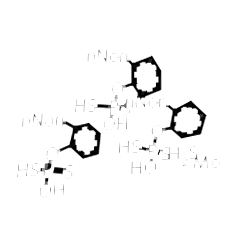 CCCCCCCCCc1ccccc1OP(O)(=S)S.CCCCCCCCCc1ccccc1OP(O)(=S)S.CCCCCCCCCc1ccccc1OP(O)(=S)S.S.[Mo]